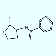 CCC1OCCC1NC(=O)c1ccccc1